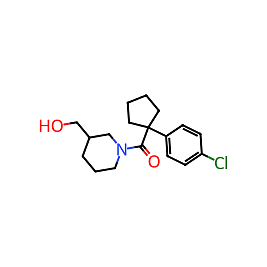 O=C(N1CCCC(CO)C1)C1(c2ccc(Cl)cc2)CCCC1